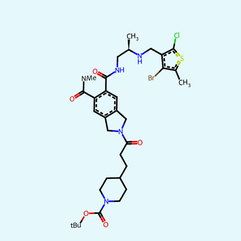 CNC(=O)c1cc2c(cc1C(=O)NC[C@@H](C)NCc1c(Cl)sc(C)c1Br)CN(C(=O)CCC1CCN(C(=O)OC(C)(C)C)CC1)C2